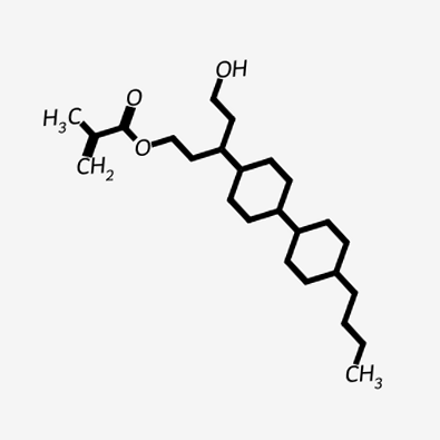 C=C(C)C(=O)OCCC(CCO)C1CCC(C2CCC(CCCC)CC2)CC1